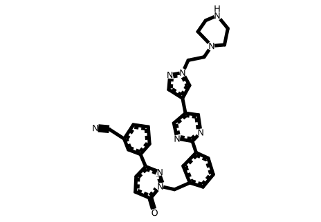 N#Cc1cccc(-c2ccc(=O)n(Cc3cccc(-c4ncc(-c5cnn(CCN6CCNCC6)c5)cn4)c3)n2)c1